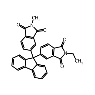 CCN1C(=O)c2ccc(C3(c4ccc5c(c4)C(=O)N(C)C5=O)c4ccccc4-c4ccccc43)cc2C1=O